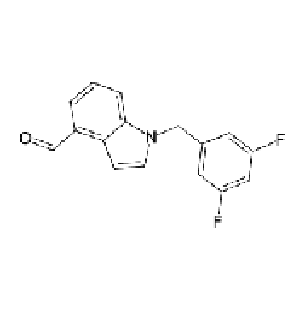 O=Cc1cccc2c1ccn2Cc1cc(F)cc(F)c1